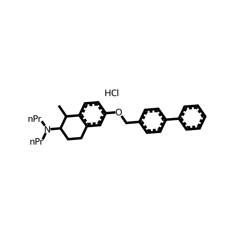 CCCN(CCC)C1CCc2cc(OCc3ccc(-c4ccccc4)cc3)ccc2C1C.Cl